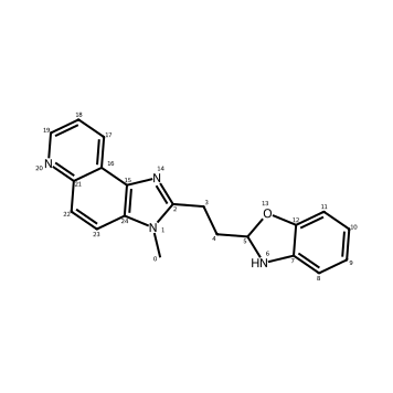 Cn1c(CCC2Nc3ccccc3O2)nc2c3cccnc3ccc21